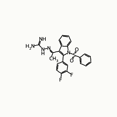 CC(=NNC(=N)N)c1c(-c2ccc(F)c(F)c2)n(S(=O)(=O)c2ccccc2)c2ccccc12